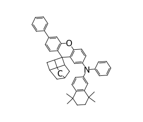 CC1(C)CCC(C)(C)c2cc(N(c3ccccc3)c3ccc4c(c3)C3(c5ccc(-c6ccccc6)cc5O4)C4CC5CC6CC3C64C5)ccc21